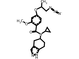 COc1cc(OC(C)CN=[N+]=[N-])ccc1C(=O)N(C1CC1)C1CCc2[nH]ncc2C1